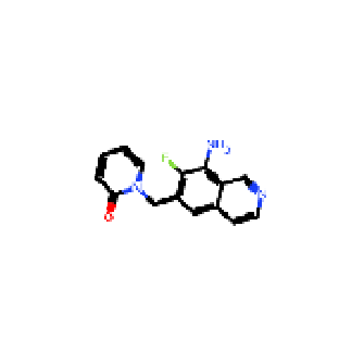 Nc1c(F)c(Cn2ccccc2=O)cc2ccncc12